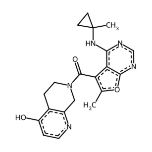 Cc1oc2ncnc(NC3(C)CC3)c2c1C(=O)N1CCc2c(O)ccnc2C1